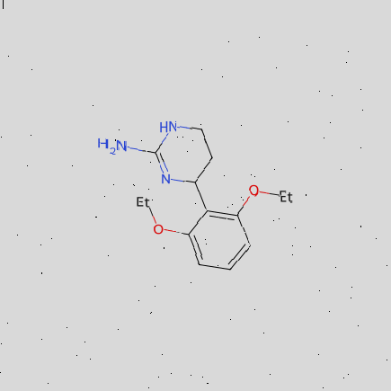 CCOc1cccc(OCC)c1C1CCNC(N)=N1